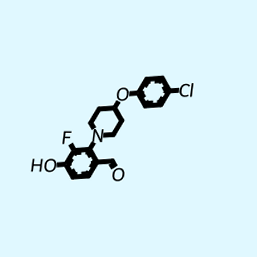 O=Cc1ccc(O)c(F)c1N1CCC(Oc2ccc(Cl)cc2)CC1